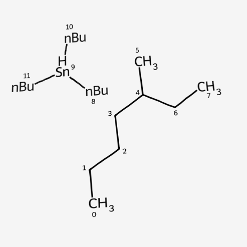 CCCCC(C)CC.CCC[CH2][SnH]([CH2]CCC)[CH2]CCC